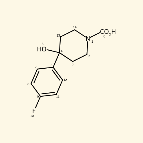 O=C(O)N1CCC(O)(c2ccc(F)cc2)CC1